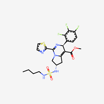 CCCCNS(=O)(=O)N[C@H]1CC2=C(C(=O)OC)[C@H](c3ccc(F)c(F)c3F)N=C(c3nccs3)N2C1